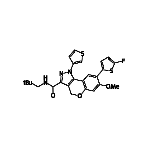 COc1cc2c(cc1-c1ccc(F)s1)-c1c(c(C(=O)NCC(C)(C)C)nn1-c1ccsc1)CO2